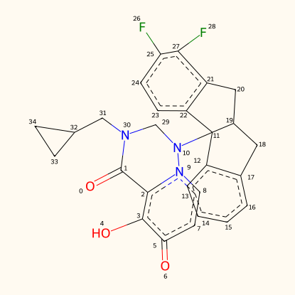 O=C1c2c(O)c(=O)ccn2N(C23c4ccccc4CC2Cc2c3ccc(F)c2F)CN1CC1CC1